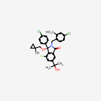 CC(C)(O)c1cc(F)c2c(c1)C(=O)N(Cc1ccc(Cl)cc1C(=O)O)[C@@]2(OCC1(C#N)CC1)c1ccc(Cl)cc1